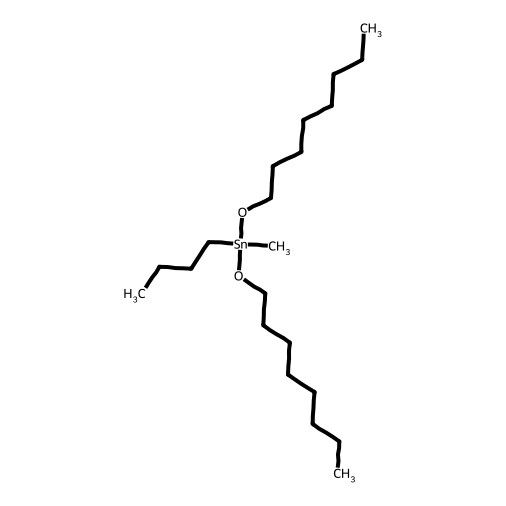 CCCCCCCC[O][Sn]([CH3])([CH2]CCC)[O]CCCCCCCC